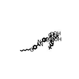 CCCCCCCOc1ccc(-c2cnc(-c3ccc(C[C@H](NC(=O)c4ccc(C(C)(C)C)s4)C(=O)NC(C(=O)O)C(O)C(C)(C)C)cc3)nc2)cc1